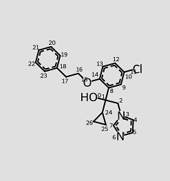 OC(Cn1ccnc1)(c1cc(Cl)ccc1OCCc1ccccc1)C1CC1